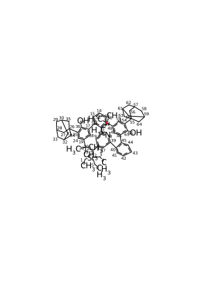 CC[Si](CC)(CC)Cc1cc(-c2ccccc2-c2cc(C(C)(C)C)cc(C34CC5CC(CC(C5)C3)C4)c2O)nc(-c2ccccc2-c2cc(C(C)(C)C)cc(C34CC5CC(CC(C5)C3)C4)c2O)c1